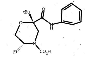 CC[C@@H]1CO[C@@](C(=O)Nc2ccccc2)(C(C)(C)C)CN1C(=O)O